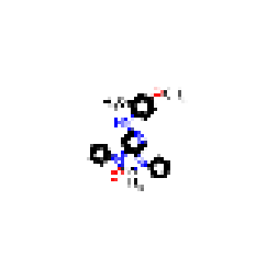 COc1ccc(Nc2cc(N(C=O)C3CCCC3)c(N(C)C3CCCC3)cn2)c(C)c1